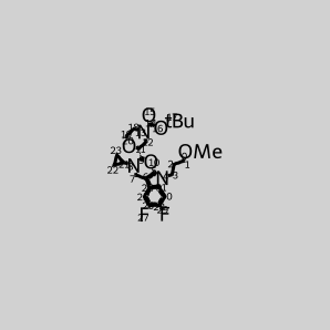 COCCCn1cc(CN(C(=O)[C@H]2CN(C(=O)OC(C)(C)C)CCO2)C2CC2)c2cc(F)c(F)cc21